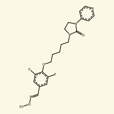 CCON=Cc1cc(F)c(OCCCCCN2CCN(c3ccncc3)C2=O)c(F)c1